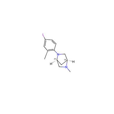 Cc1cc(I)ccc1N1C[C@@H]2C[C@H]1CN2C